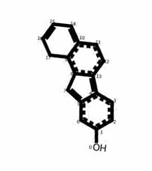 Oc1ccc2c(c1)=Cc1c3c(ccc1=2)=CC=CC3